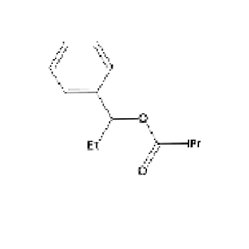 CCC(OC(=O)C(C)C)c1ccccc1